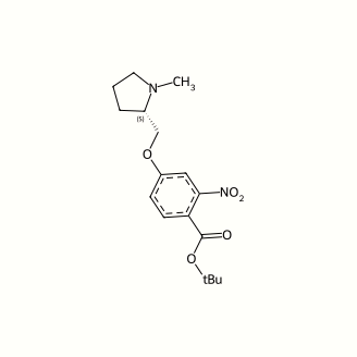 CN1CCC[C@H]1COc1ccc(C(=O)OC(C)(C)C)c([N+](=O)[O-])c1